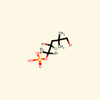 CCCC(C)(OP(=O)(O)O)C(Cl)(Br)CC(C)(C)CBr